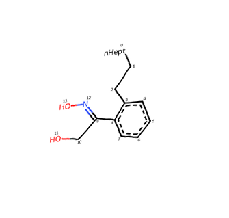 CCCCCCCCCc1ccccc1C(CO)=NO